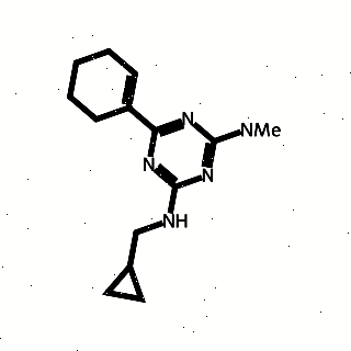 CNc1nc(NCC2CC2)nc(C2=CCCCC2)n1